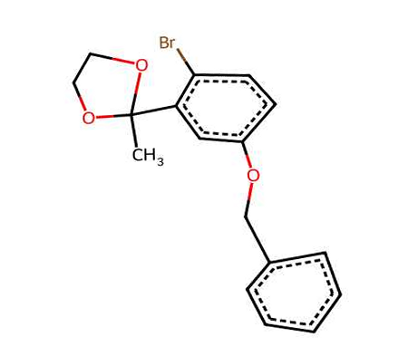 CC1(c2cc(OCc3ccccc3)ccc2Br)OCCO1